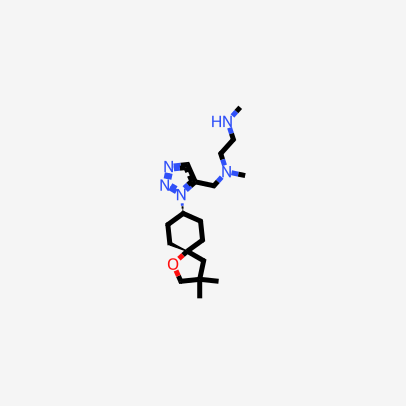 CNCCN(C)Cc1cnnn1[C@H]1CC[C@@]2(CC1)CC(C)(C)CO2